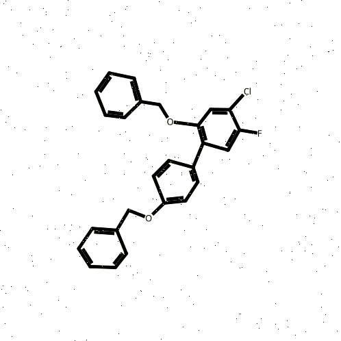 Fc1cc(-c2ccc(OCc3ccccc3)cc2)c(OCc2ccccc2)cc1Cl